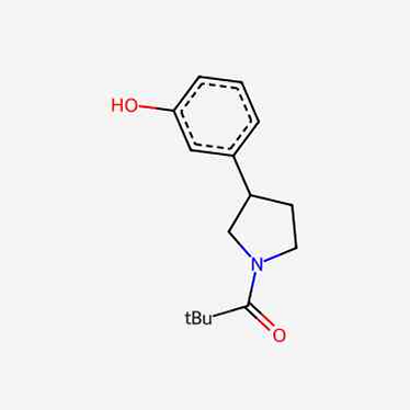 CC(C)(C)C(=O)N1CCC(c2cccc(O)c2)C1